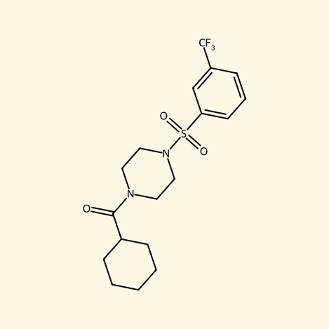 O=C(C1CCCCC1)N1CCN(S(=O)(=O)c2cccc(C(F)(F)F)c2)CC1